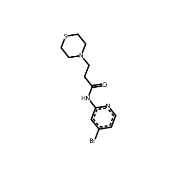 O=C(CCN1CCSCC1)Nc1cc(Br)ccn1